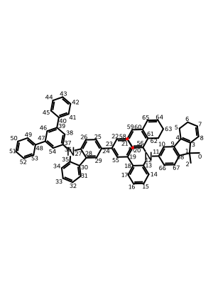 CC1(C)C2=C(CCC=C2)c2cc(N(c3ccccc3-c3cccc(-c4ccc5c(c4)c4ccccc4n5-c4cc(-c5ccccc5)cc(-c5ccccc5)c4)c3)c3cccc4c3CCC=C4)ccc21